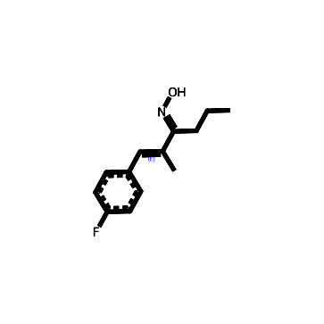 CCCC(=NO)/C(C)=C/c1ccc(F)cc1